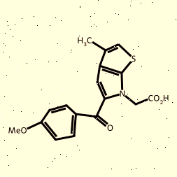 COc1ccc(C(=O)c2cc3c(C)csc3n2CC(=O)O)cc1